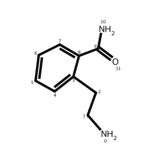 N[CH]Cc1ccccc1C(N)=O